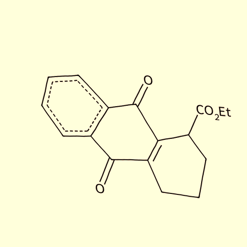 CCOC(=O)C1CCCC2=C1C(=O)c1ccccc1C2=O